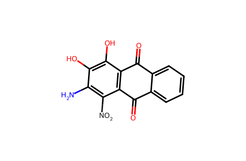 Nc1c(O)c(O)c2c(c1[N+](=O)[O-])C(=O)c1ccccc1C2=O